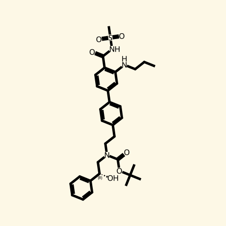 CCCNc1cc(-c2ccc(CCN(C[C@H](O)c3ccccc3)C(=O)OC(C)(C)C)cc2)ccc1C(=O)NS(C)(=O)=O